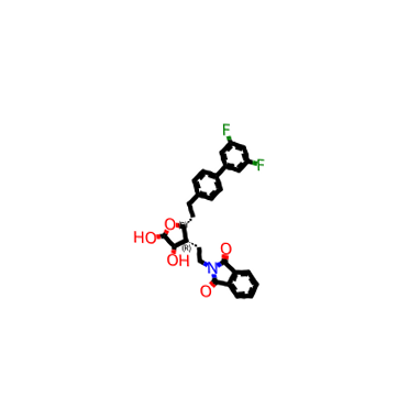 O=C1c2ccccc2C(=O)N1CC[C@@H]1C(O)C(O)O[C@@H]1CCc1ccc(-c2cc(F)cc(F)c2)cc1